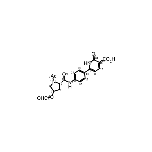 CC(=O)N1CC(OC=O)C[C@H]1C(=O)Nc1ccc(-c2ccc(C(=O)O)c(=O)[nH]2)cc1